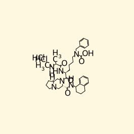 CN[C@@H](C)C(=O)N[C@@H](CCCCN(Cc1ccccc1)C(=O)O)C(=O)N1C[C@H]2CCCN2C[C@H]1C(=O)N[C@@H]1CCCc2ccccc21.Cl.Cl